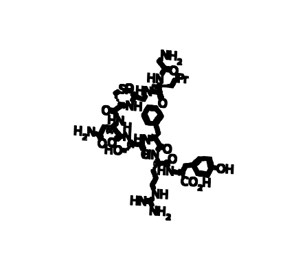 CC(C)C[C@H](NC(=O)CN)C(=O)NCC(=O)N[C@@H](CS)C(=O)N[C@@H](CC(N)=O)C(=O)N[C@@H](CO)C(=O)N[C@@H](Cc1ccccc1)C(=O)N[C@@H](CCCNC(=N)N)C(=O)N[C@@H](Cc1ccc(O)cc1)C(=O)O